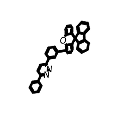 C1=CC2=C(CC1)c1ccccc1C21c2ccccc2Oc2c(-c3cccc(-c4ccc(-c5ccccc5)nn4)c3)cccc21